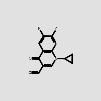 O=[C]c1cn(C2CC2)c2nc(Cl)c(F)cc2c1=O